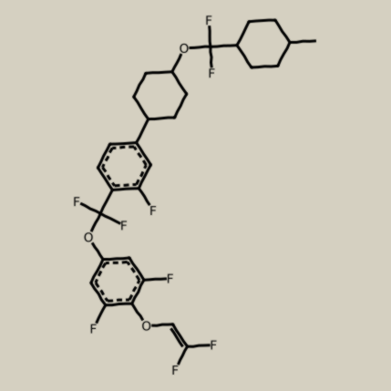 CC1CCC(C(F)(F)OC2CCC(c3ccc(C(F)(F)Oc4cc(F)c(OC=C(F)F)c(F)c4)c(F)c3)CC2)CC1